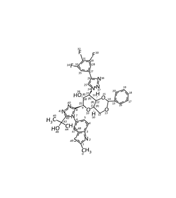 Cc1nc2ccc(-n3c([C@@H]4O[C@@H]5COC(c6ccccc6)O[C@@H]5[C@H](n5cc(-c6cc(F)c(F)c(F)c6)nn5)[C@H]4O)nnc3C(C)(C)O)cc2s1